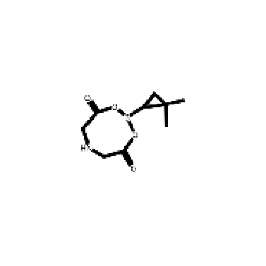 CC1(C)CC1B1OC(=O)CNCC(=O)O1